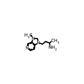 CC(N)CCN1CN(C)c2cnccc21